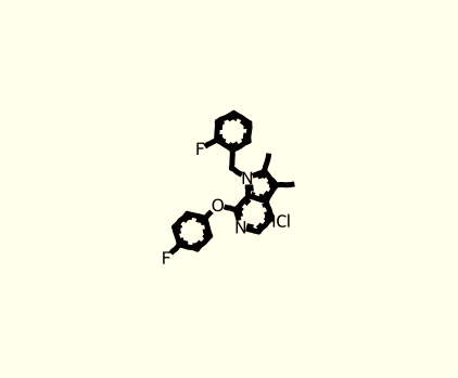 Cc1c(C)n(Cc2ccccc2F)c2c(Oc3ccc(F)cc3)nccc12.Cl